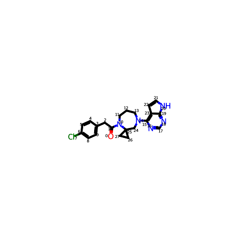 O=C(Cc1ccc(Cl)cc1)N1CCCN(c2ncnc3[nH]ccc23)CC12CC2